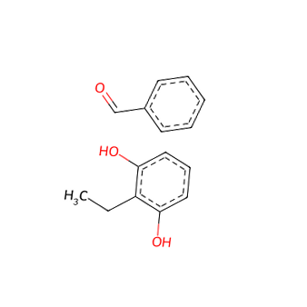 CCc1c(O)cccc1O.O=Cc1ccccc1